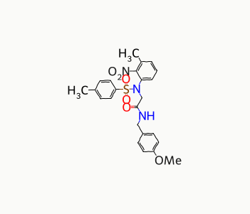 COc1ccc(CNC(=O)CN(c2cccc(C)c2[N+](=O)[O-])S(=O)(=O)c2ccc(C)cc2)cc1